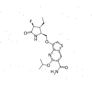 CC[C@@H]1[C@H](F)C(=O)N[C@@H]1COc1csc2cc(C(N)=O)c(OC(C)C)nc12